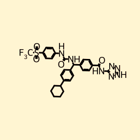 O=C(Nc1ccc(S(=O)(=O)C(F)(F)F)cc1)NC(c1ccc(C(=O)Nc2nn[nH]n2)cc1)c1ccc(C2CCCCC2)cc1